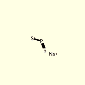 S=P[S-].[Na+]